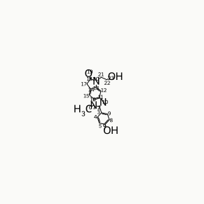 Cn1c(-c2ccc(O)cc2)nc2cc3c(cc21)CC(=O)N3CCO